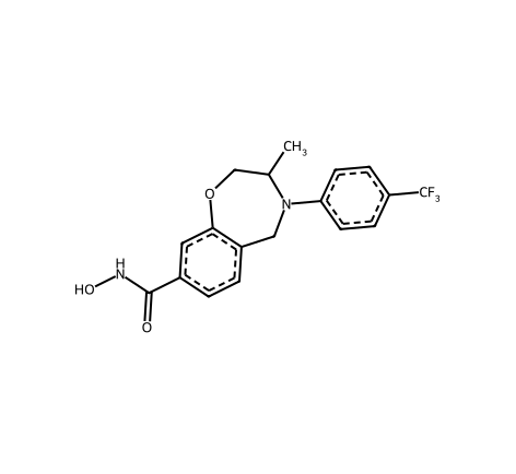 CC1COc2cc(C(=O)NO)ccc2CN1c1ccc(C(F)(F)F)cc1